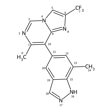 Cc1ncn2cc(C(F)(F)F)nc2c1-c1cc(C)c2[nH]ncc2c1